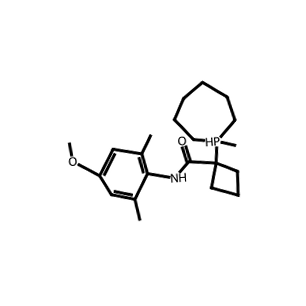 COc1cc(C)c(NC(=O)C2([PH]3(C)CCCCCC3)CCC2)c(C)c1